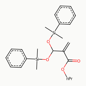 C=C(C(=O)OCCC)C(O[Si](C)(C)c1ccccc1)O[Si](C)(C)c1ccccc1